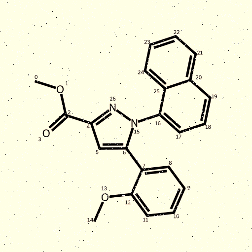 COC(=O)c1cc(-c2ccccc2OC)n(-c2cccc3ccccc23)n1